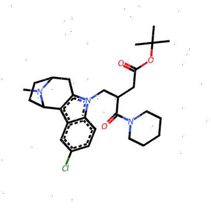 CN1C2CCC1c1c(n(CC(CC(=O)OC(C)(C)C)C(=O)N3CCCCC3)c3ccc(Cl)cc13)C2